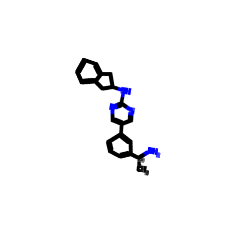 C[C@@H](N)c1cccc(-c2cnc(NC3Cc4ccccc4C3)nc2)c1